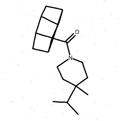 CC(C)C1(C)CCN(C(=O)C23C4CC2C2CC4C23)CC1